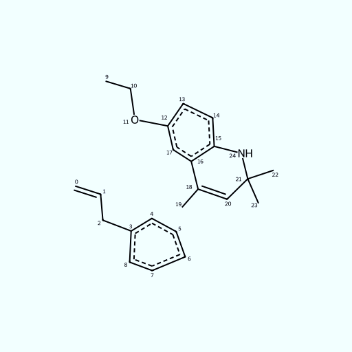 C=CCc1ccccc1.CCOc1ccc2c(c1)C(C)=CC(C)(C)N2